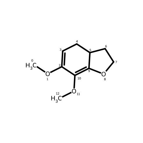 COC1=CCC2CCOC2=C1OC